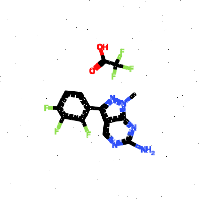 Cn1nc(-c2ccc(F)c(F)c2F)c2cnc(N)nc21.O=C(O)C(F)(F)F